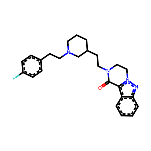 O=C1c2c3ccccc3nn2CCN1CCC1CCCN(CCc2ccc(F)cc2)C1